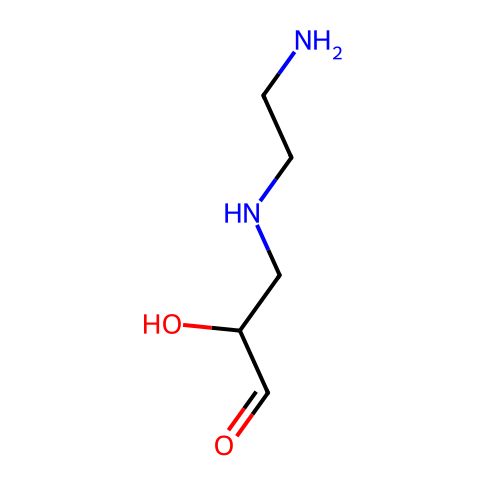 NCCNCC(O)C=O